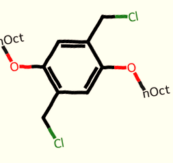 CCCCCCCCOc1cc(CCl)c(OCCCCCCCC)cc1CCl